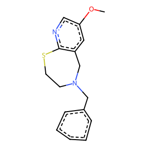 COc1cnc2c(c1)CN(Cc1ccccc1)CCS2